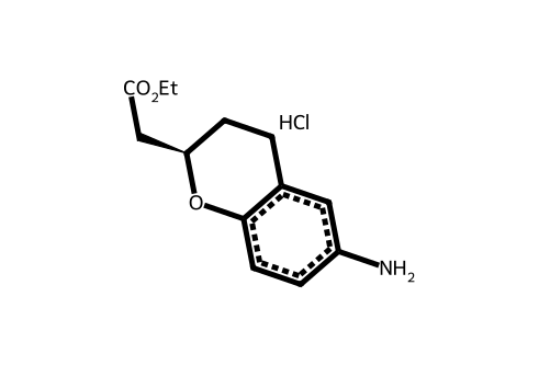 CCOC(=O)C[C@H]1CCc2cc(N)ccc2O1.Cl